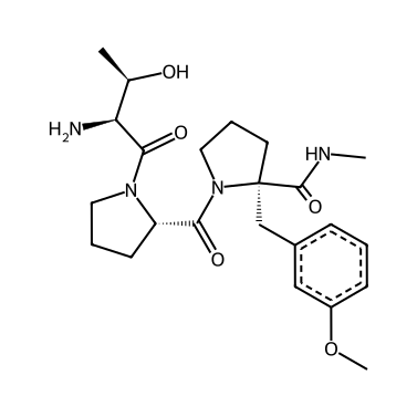 CNC(=O)[C@]1(Cc2cccc(OC)c2)CCCN1C(=O)[C@@H]1CCCN1C(=O)[C@@H](N)[C@@H](C)O